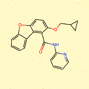 O=C(Nc1ccccn1)c1c(OCC2CC2)ccc2oc3ccccc3c12